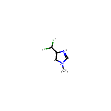 FC(F)C1[CH]N(C(F)(F)F)[C]=N1